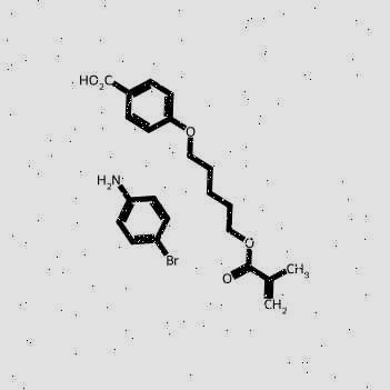 C=C(C)C(=O)OCCCCCOc1ccc(C(=O)O)cc1.Nc1ccc(Br)cc1